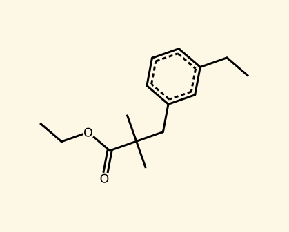 CCOC(=O)C(C)(C)Cc1cccc(CC)c1